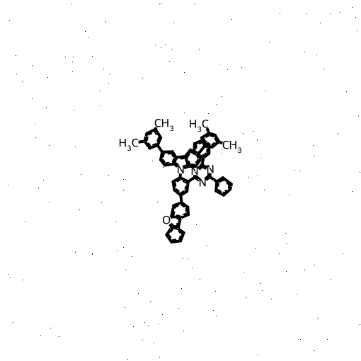 Cc1cc(C)cc(-c2ccc3c(c2)c2cc(-c4cc(C)cc(C)c4)ccc2n3-c2ccc(-c3ccc4c(c3)oc3ccccc34)cc2-c2nc(-c3ccccc3)nc(-c3ccccc3)n2)c1